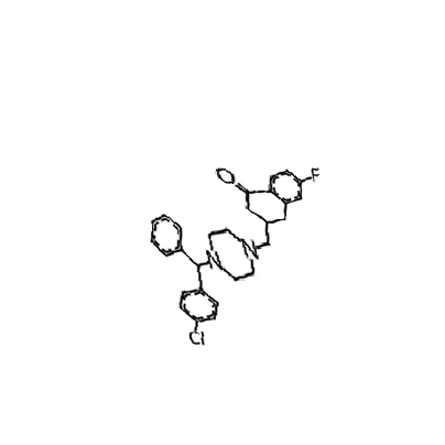 O=C1CC(CN2CCN(C(c3ccccc3)c3ccc(Cl)cc3)CC2)Cc2cc(F)ccc21